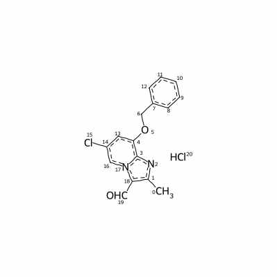 Cc1nc2c(OCc3ccccc3)cc(Cl)cn2c1C=O.Cl